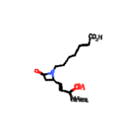 CCCCCCC(O)/C=C/C1CC(=O)N1CCCCCCC(=O)O